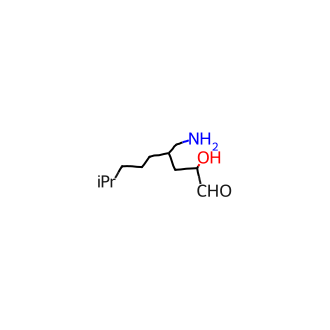 CC(C)CCCC(CN)CC(O)C=O